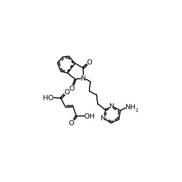 Nc1ccnc(CCCCN2C(=O)c3ccccc3C2=O)n1.O=C(O)C=CC(=O)O